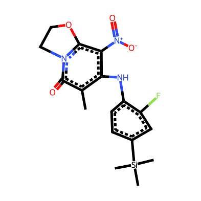 Cc1c(Nc2ccc([Si](C)(C)C)cc2F)c([N+](=O)[O-])c2n(c1=O)CCO2